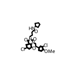 COc1ccc(C(=O)Cn2c(=O)n(CCCC(=O)NC3CCCC3)c(=O)c3cc(Cl)ccc32)cc1Cl